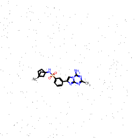 N#CC12CCC(NS(=O)(=O)c3cccc(-c4cn5c(N)nc(C(F)(F)F)nc5n4)c3)(C1)C2